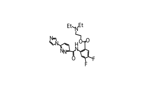 CCN(CC)CCOC(=O)c1cc(F)c(F)cc1NC(=O)c1ccc(-n2ccnc2)nn1